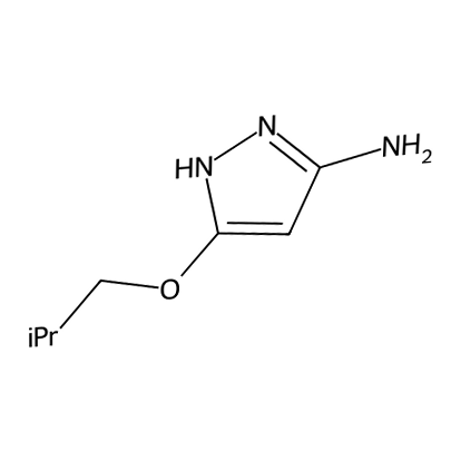 CC(C)COc1cc(N)n[nH]1